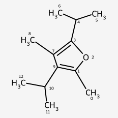 Cc1oc(C(C)C)c(C)c1C(C)C